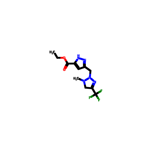 CCOC(=O)c1cc(CN2N=C(C(F)(F)F)CN2C)n[nH]1